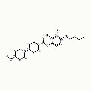 CCCCOc1ccc(OC(=O)[C@H]2CC[C@H]([C@H]3CC[C@H](CC)CC3)CC2)c(F)c1F